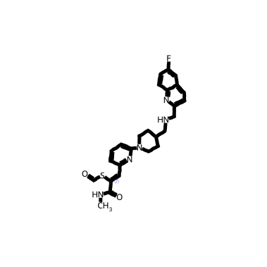 CNC(=O)/C(=C/c1cccc(N2CCC(CNCc3ccc4cc(F)ccc4n3)CC2)n1)SC=O